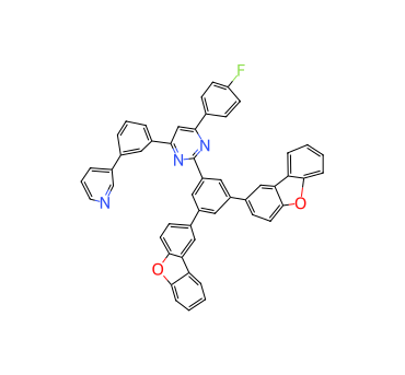 Fc1ccc(-c2cc(-c3cccc(-c4cccnc4)c3)nc(-c3cc(-c4ccc5oc6ccccc6c5c4)cc(-c4ccc5oc6ccccc6c5c4)c3)n2)cc1